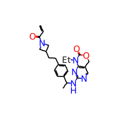 C=CC(=O)N1CC(CCc2ccc(C(C)Nc3ncc4c(n3)N(CC)C(=O)OC4)cc2)C1